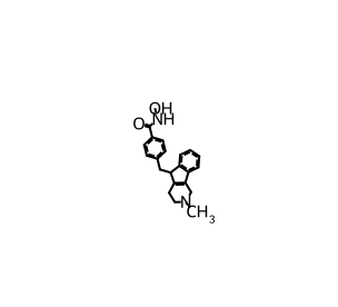 CN1CCC2=C(C1)c1ccccc1C2Cc1ccc(C(=O)NO)cc1